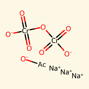 CC(=O)[O-].[Na+].[Na+].[Na+].[O]=[Cr](=[O])([O-])[O][Cr](=[O])(=[O])[O-]